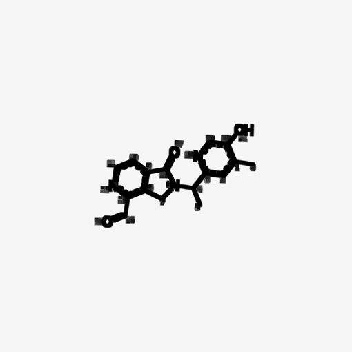 Cc1cc(C(C)N2Cc3c(ccnc3C=O)C2=O)ncc1O